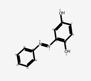 Oc1ccc(O)c(N=Nc2ccccc2)c1